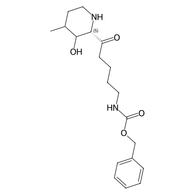 CC1CCN[C@H](C(=O)CCCCNC(=O)OCc2ccccc2)C1O